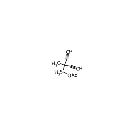 C#CC(C)(C#C)[SiH2]OC(C)=O